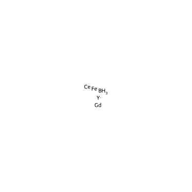 B.[Ce].[Fe].[Gd].[Y]